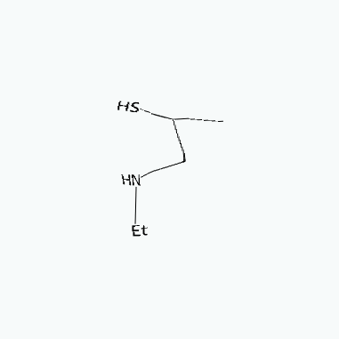 CCNCC(C)S